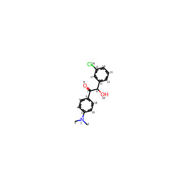 CN(C)c1ccc(C(=O)C(O)c2cccc(Cl)c2)cc1